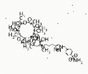 CC[C@H]1OC(=O)[C@H](C)[C@@H](OC)[C@H](C)[C@@H](O[C@@H]2O[C@H](C)C[C@H](N(C)CCCc3cn(Cc4ccc(S(N)(=O)=O)cc4)nn3)[C@H]2O)[C@](C)(OC)C[C@@H](C)C(=O)[C@H](C)[C@@H](O)[C@]1(C)O